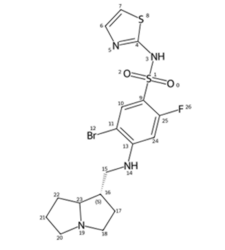 O=S(=O)(Nc1nccs1)c1cc(Br)c(NC[C@@H]2CCN3CCCC23)cc1F